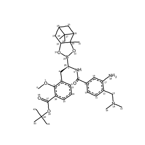 COc1c(C[C@H](NC(=O)c2ccc(CN(C)C)c(N)c2)B2OC3CC4CC(C4(C)C)C3(C)O2)cccc1C(=O)OC(C)(C)C